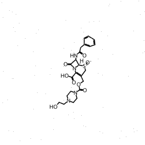 O=C(Cc1ccccc1)NC1C(=O)N2C(C(=O)O)=C(COC(=O)N3CCN(CCO)CC3)C[S+]([O-])[C@H]12